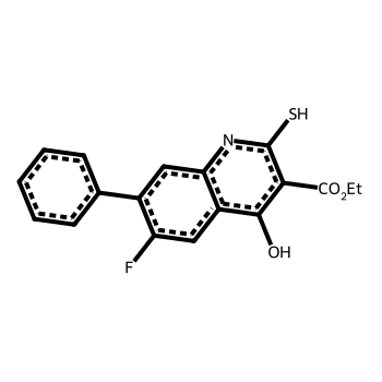 CCOC(=O)c1c(S)nc2cc(-c3ccccc3)c(F)cc2c1O